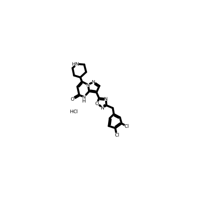 Cl.O=c1cc(C2CCNCC2)n2ncc(-c3nc(Cc4ccc(Cl)c(Cl)c4)no3)c2[nH]1